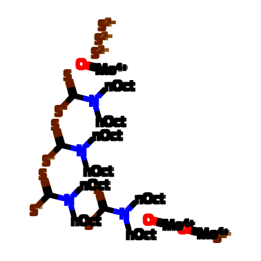 CCCCCCCCN(CCCCCCCC)C(=S)[S-].CCCCCCCCN(CCCCCCCC)C(=S)[S-].CCCCCCCCN(CCCCCCCC)C(=S)[S-].CCCCCCCCN(CCCCCCCC)C(=S)[S-].[O]=[Mo+4].[O]=[Mo+4].[O]=[Mo+4].[S-2].[S-2].[S-2].[S-2]